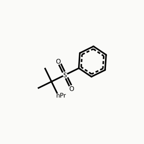 CCCC(C)(C)S(=O)(=O)c1ccccc1